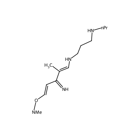 CCCNCCCN/C=C(\C)C(=N)/C=C/ONC